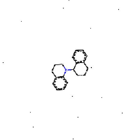 [CH]1CCc2ccccc2N1C1CCCc2ccccc21